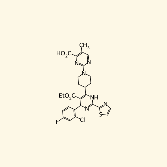 CCOC(=O)C1=C(C2CCN(c3ncc(C)c(C(=O)O)n3)CC2)NC(c2nccs2)=NC1c1ccc(F)cc1Cl